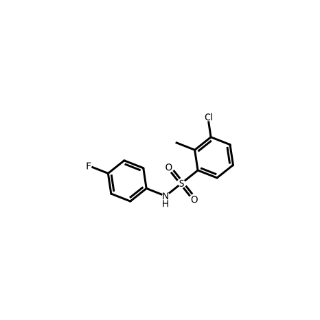 Cc1c(Cl)cccc1S(=O)(=O)Nc1ccc(F)cc1